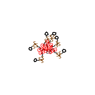 CCC(OC(=O)C(C)(OC(=O)CCSC(=S)SCc1ccccc1)OC(=O)CCSC(=S)SCc1ccccc1)(OC(=O)C(C)(OC(=O)CCSC(=S)SCc1ccccc1)OC(=O)CCSC(=S)SCc1ccccc1)OC(=O)C(C)(OC(=O)CCSC(=S)SCc1ccccc1)OC(=O)CCSC(=S)SCc1ccccc1